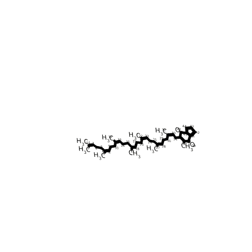 CC(C)=CCCC(C)=CCCC(C)=CCCC(C)=CCCC(C)=CCCC(C)=CCCC(C)=CCC1=C(C)C(=O)c2ccccc2C1=O